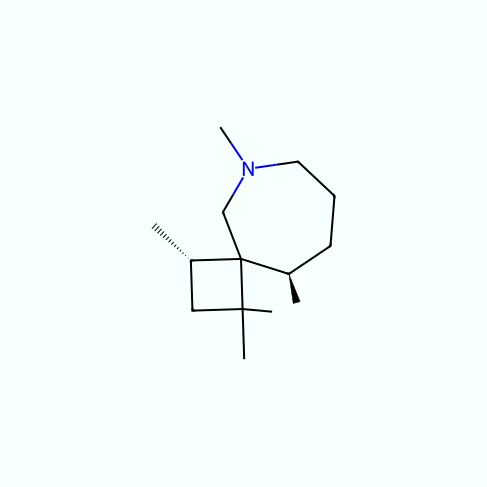 C[C@@H]1CCCN(C)CC12[C@@H](C)CC2(C)C